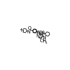 CN1CCC(N(C)C(=O)c2ccc(Nc3ncc(C(F)(F)F)c(NC4CCCCC4N)n3)cc2)CC1